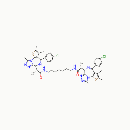 CC[C@@H](C(=O)NCCCCCCCNC(=O)[C@H](CC)[C@@H]1N=C(c2ccc(Cl)cc2)c2c(sc(C)c2C)-n2c(C)nnc21)[C@@H]1N=C(c2ccc(Cl)cc2)c2c(sc(C)c2C)-n2c(C)nnc21